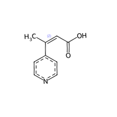 C/C(=C/C(=O)O)c1ccncc1